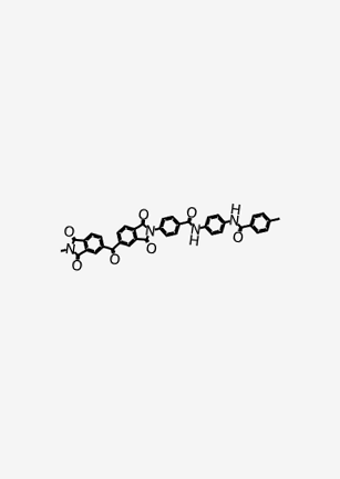 Cc1ccc(C(=O)Nc2ccc(NC(=O)c3ccc(N4C(=O)c5ccc(C(=O)c6ccc7c(c6)C(=O)N(C)C7=O)cc5C4=O)cc3)cc2)cc1